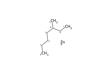 CCCCC(C)CC.[Zn]